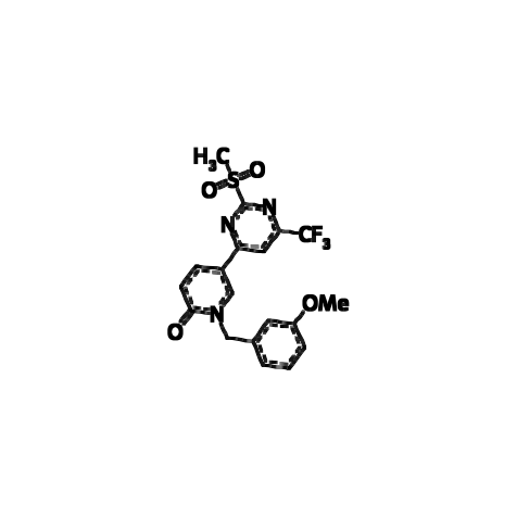 COc1cccc(Cn2cc(-c3cc(C(F)(F)F)nc(S(C)(=O)=O)n3)ccc2=O)c1